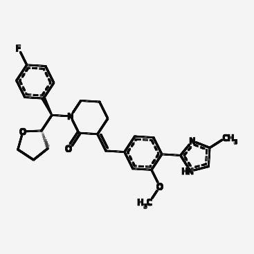 COc1cc(/C=C2\CCCN([C@H](c3ccc(F)cc3)[C@@H]3CCCO3)C2=O)ccc1-c1nc(C)c[nH]1